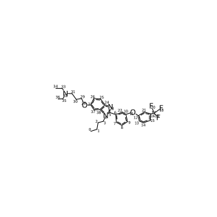 CCCCn1c(-c2cccc(Oc3cccc(C(F)(F)F)c3)c2)nc2ccc(OCCCN(CC)CC)cc21